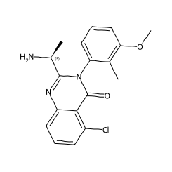 COc1cccc(-n2c([C@H](C)N)nc3cccc(Cl)c3c2=O)c1C